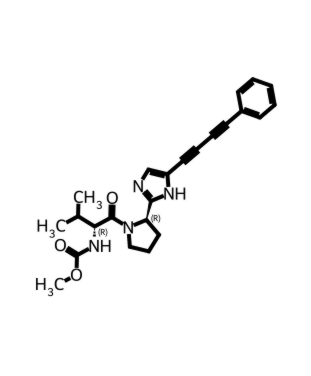 COC(=O)N[C@@H](C(=O)N1CCC[C@@H]1c1ncc(C#CC#Cc2ccccc2)[nH]1)C(C)C